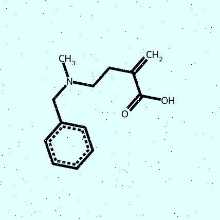 C=C(CCN(C)Cc1ccccc1)C(=O)O